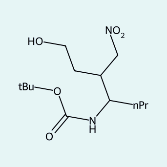 CCCC(NC(=O)OC(C)(C)C)C(CCO)C[N+](=O)[O-]